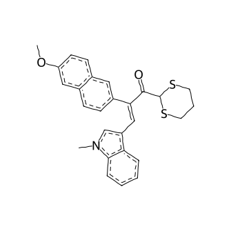 COc1ccc2cc(/C(=C\c3cn(C)c4ccccc34)C(=O)C3SCCCS3)ccc2c1